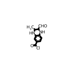 CC1Nc2cc(C(=O)Cl)ccc2NC1C=O